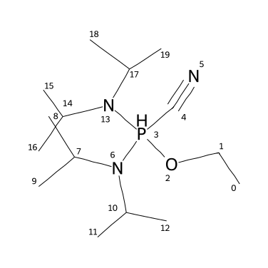 CCO[PH](C#N)(N(C(C)C)C(C)C)N(C(C)C)C(C)C